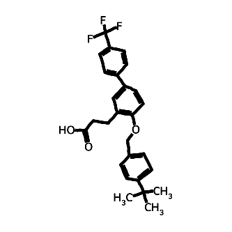 CC(C)(C)c1ccc(COc2ccc(-c3ccc(C(F)(F)F)cc3)cc2CCC(=O)O)cc1